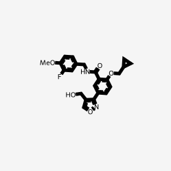 COc1ccc(CNC(=O)c2cc(-c3nocc3CO)ccc2OCC2CC2)cc1F